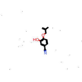 C=C(C)COc1ccc(C#N)cc1O